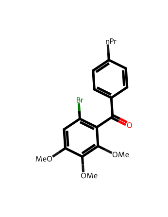 CCCc1ccc(C(=O)c2c(Br)cc(OC)c(OC)c2OC)cc1